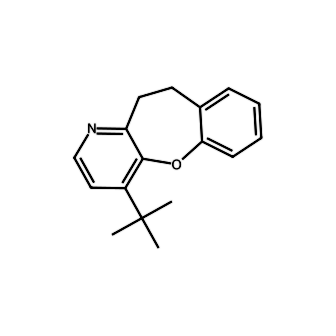 CC(C)(C)c1ccnc2c1Oc1ccccc1CC2